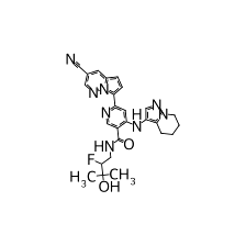 CC(C)(O)C(F)CNC(=O)c1cnc(-c2ccc3cc(C#N)cnn23)cc1Nc1cnn2c1CCCC2